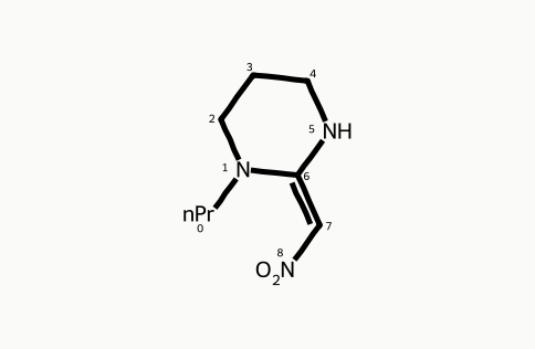 CCCN1CCCNC1=C[N+](=O)[O-]